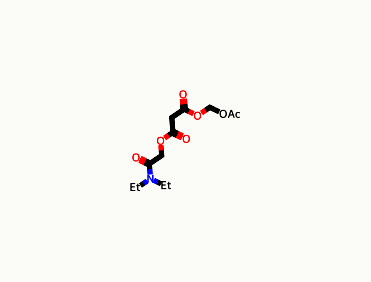 CCN(CC)C(=O)COC(=O)CC(=O)OCOC(C)=O